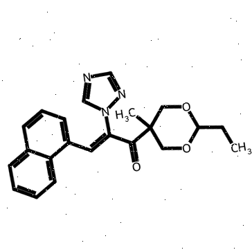 CCC1OCC(C)(C(=O)C(=Cc2cccc3ccccc23)n2cncn2)CO1